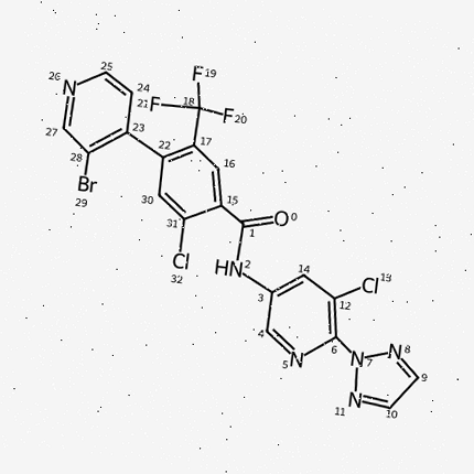 O=C(Nc1cnc(-n2nccn2)c(Cl)c1)c1cc(C(F)(F)F)c(-c2ccncc2Br)cc1Cl